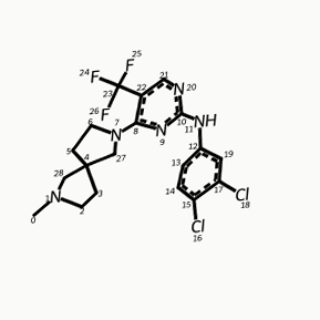 CN1CCC2(CCN(c3nc(Nc4ccc(Cl)c(Cl)c4)ncc3C(F)(F)F)C2)C1